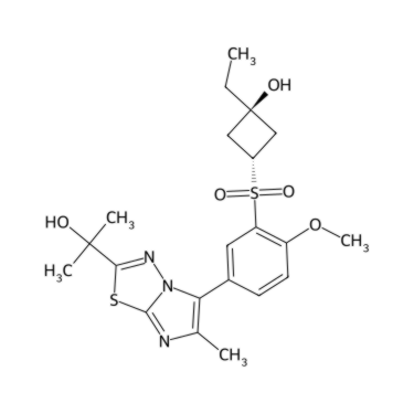 CC[C@]1(O)C[C@H](S(=O)(=O)c2cc(-c3c(C)nc4sc(C(C)(C)O)nn34)ccc2OC)C1